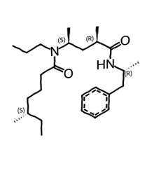 CCCN(C(=O)CCC[C@@H](C)CC)[C@@H](C)C[C@@H](C)C(=O)N[C@H](C)Cc1ccccc1